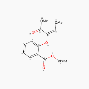 CCCCCOC(=O)c1ccccc1OC(=COC)C(=O)OC